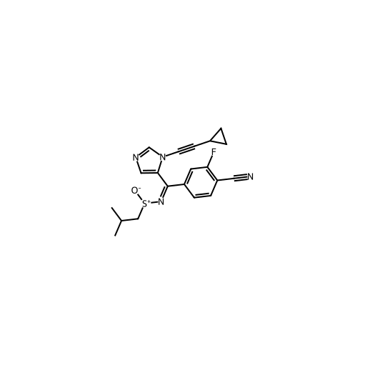 CC(C)C[S+]([O-])N=C(c1ccc(C#N)c(F)c1)c1cncn1C#CC1CC1